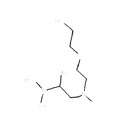 CC(=O)N(CCOCCO)CC(C(C)C)N(C)C